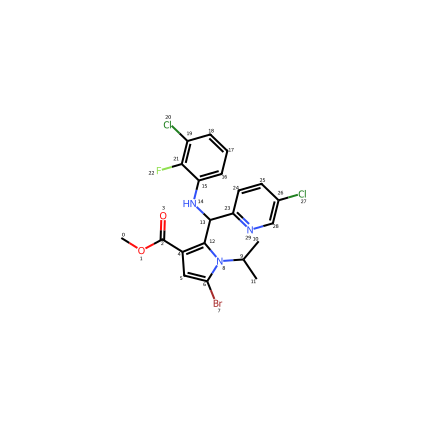 COC(=O)c1cc(Br)n(C(C)C)c1C(Nc1cccc(Cl)c1F)c1ccc(Cl)cn1